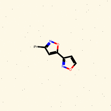 CC(C)c1cc(-c2c[c]on2)on1